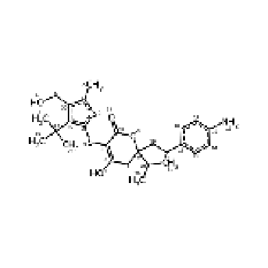 Cc1sc(SC2=C(O)CC(CCc3ccc(N)cc3)(C(C)C)OC2=O)c(C(C)(C)C)c1CO